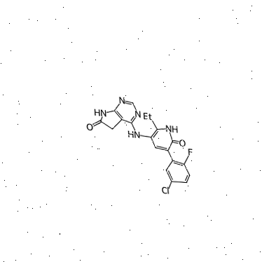 CCc1[nH]c(=O)c(-c2cc(Cl)ccc2F)cc1Nc1ncnc2c1CC(=O)N2